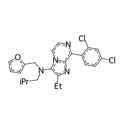 CCc1nc2c(-c3ccc(Cl)cc3Cl)nccn2c1N(Cc1ccco1)CC(C)C